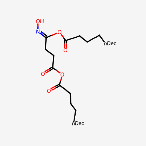 CCCCCCCCCCCCCC(=O)OC(=O)CC/C(=N/O)OC(=O)CCCCCCCCCCCCC